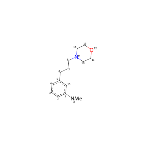 CNc1cccc(CCCN2CCOCC2)c1